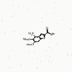 CCCC(=O)c1cc2c(P)c(OC)c(OC)cc2s1